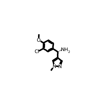 COc1ccc([C@H](N)c2cnn(C)c2)cc1Cl